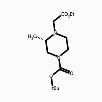 CCOC(=O)CN1CCN(C(=O)OC(C)(C)C)C[C@@H]1C